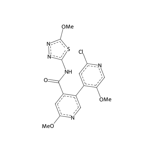 COc1cc(C(=O)Nc2nnc(OC)s2)c(-c2cc(Cl)ncc2OC)cn1